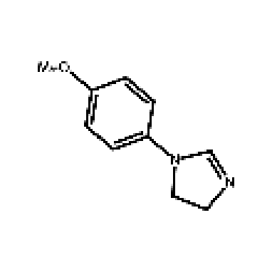 COc1ccc(N2C=NCC2)cc1